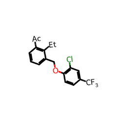 CCc1c(COc2ccc(C(F)(F)F)cc2Cl)cccc1C(C)=O